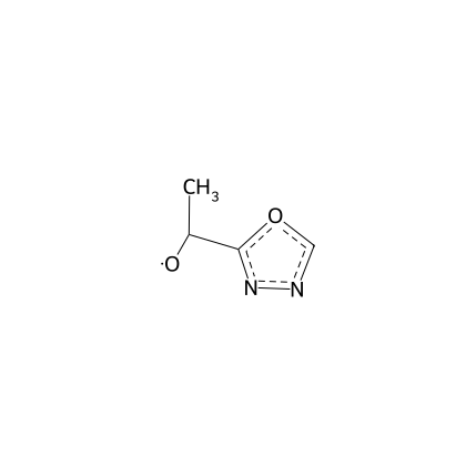 CC([O])c1nnco1